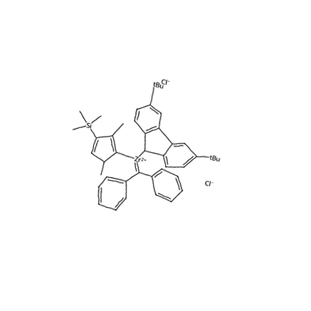 CC1=[C]([Zr+2](=[C](c2ccccc2)c2ccccc2)[CH]2c3ccc(C(C)(C)C)cc3-c3cc(C(C)(C)C)ccc32)C(C)C=C1[Si](C)(C)C.[Cl-].[Cl-]